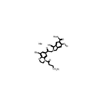 Br.CCOC(=O)CCC(=O)N1CCOc2c1cc(C(=O)CN1Cc3cc(OCC)c(C(=O)NC)cc3C1=N)cc2C(C)(C)C